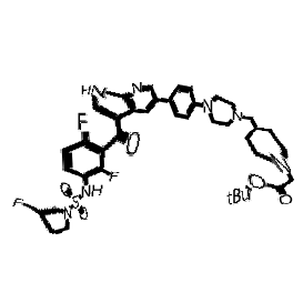 CC(C)(C)OC(=O)CN1CCC(CN2CCN(c3ccc(-c4cnc5[nH]cc(C(=O)c6c(F)ccc(NS(=O)(=O)N7CCC(F)C7)c6F)c5c4)cc3)CC2)CC1